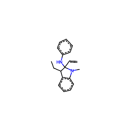 C=CC1(Nc2ccccc2)C(CC)c2ccccc2N1C